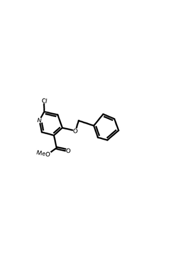 COC(=O)c1cnc(Cl)cc1OCc1ccccc1